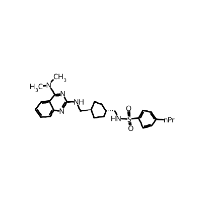 CCCc1ccc(S(=O)(=O)NC[C@H]2CC[C@H](CNc3nc(N(C)C)c4ccccc4n3)CC2)cc1